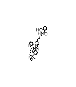 Cc1noc(C)c1-c1ccc2nc(N3CCC(CCCCNC(=O)c4ccccc4O)CC3)n3c2c1OC[C@@H]3c1ccccn1